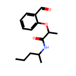 CCCC(C)NC(=O)C(C)Oc1ccccc1C=O